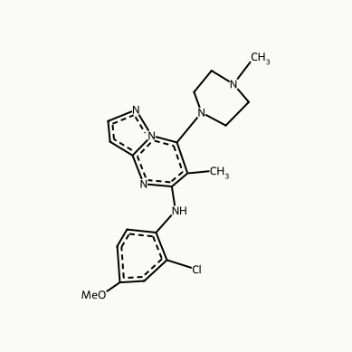 COc1ccc(Nc2nc3ccnn3c(N3CCN(C)CC3)c2C)c(Cl)c1